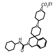 CCOC(=O)N1CCC(N2CCC3(CC2)CN(C(=O)NC2CCCCC2)Cc2ccccc23)CC1